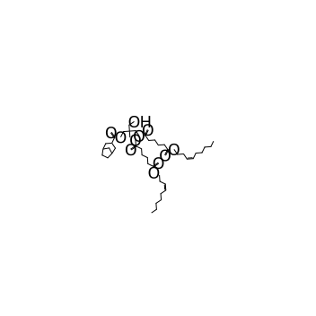 CCCCC/C=C\CCOC(=O)CCCCC(=O)OCC(CO)(COC(=O)CCCCC(=O)OCC/C=C\CCCCC)COC(=O)C1CC2CCC(C2)C1